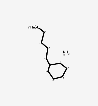 CCCCCCCCCCCC1CCCCC1.N